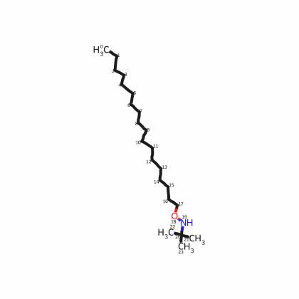 CCCCCCCCCCCCCCCCCCONC(C)(C)C